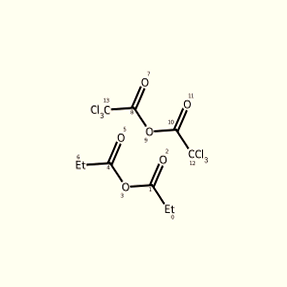 CCC(=O)OC(=O)CC.O=C(OC(=O)C(Cl)(Cl)Cl)C(Cl)(Cl)Cl